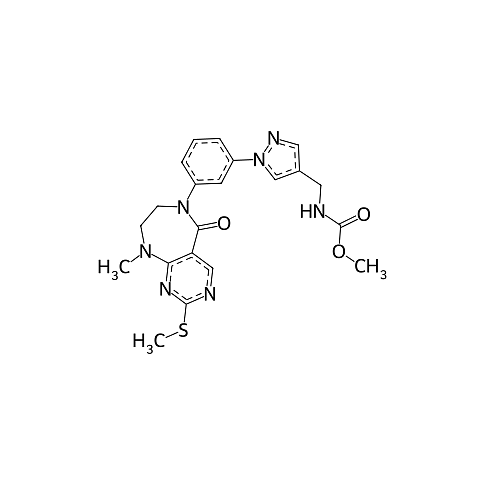 COC(=O)NCc1cnn(-c2cccc(N3CCN(C)c4nc(SC)ncc4C3=O)c2)c1